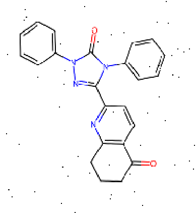 O=C1CCCc2nc(-c3nn(-c4ccccc4)c(=O)n3-c3ccccc3)ccc21